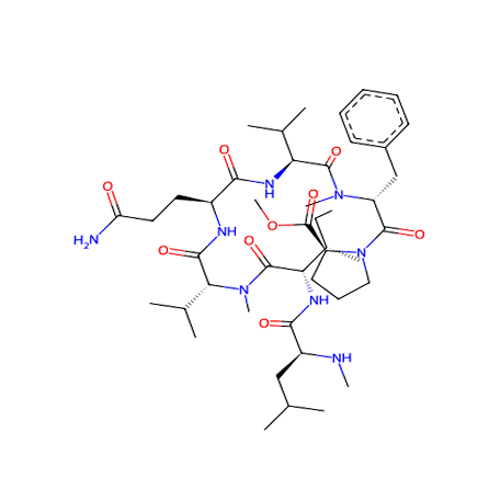 CC[C@H](C)[C@H](NC(=O)[C@H](CC(C)C)NC)C(=O)N(C)[C@@H](C(=O)N[C@@H](CCC(N)=O)C(=O)N[C@H](C(=O)N(C)[C@H](Cc1ccccc1)C(=O)N1CCC[C@H]1C(=O)OC)C(C)C)C(C)C